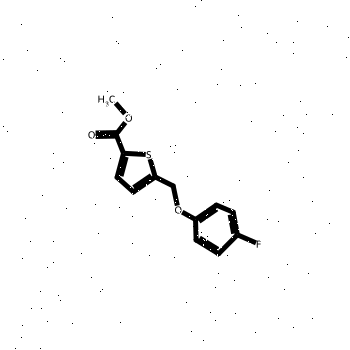 COC(=O)c1ccc(COc2ccc(F)cc2)s1